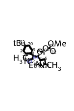 CCn1nc(C)cc1/C(OCOC(=O)OC)=C(\C=N/C)c1ccc(C(C)(C)C)cc1